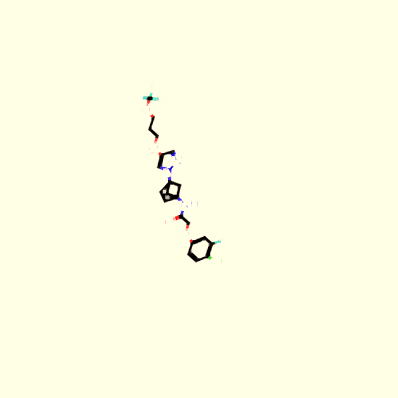 O=C(COc1ccc(Cl)c(F)c1)NC12CCC(n3cc(OCCCOC(F)(F)F)cn3)(C1)C2